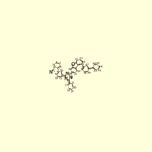 N#Cc1ccccc1-c1cccc(-c2nc(-c3ccccc3)nc(-c3ccc4c(c3)oc3cccc(-c5cccc(-c6ccccc6)c5)c34)n2)c1